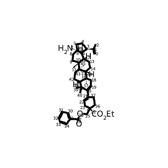 C=C(C)[C@@H]1CC[C@]2(N)CC[C@]3(C)[C@H](CC[C@@H]4[C@@]5(C)CC=C(C6=CC[C@](COC(=O)c7ccccc7)(C(=O)OCC)CC6)C(C)(C)[C@@H]5CC[C@]43C)[C@@H]12